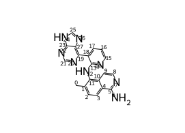 Cc1ccc2c(N)nccc2c1Nc1ncccc1-c1ncnc2[nH]cnc12